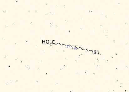 CCC(C)CCCCC/C=C/C/C=C/CCCCC(=O)O